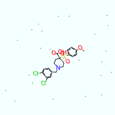 COc1ccc(S(=O)(=O)C2(C(=O)O)CCN(Cc3ccc(Cl)c(Cl)c3)CC2)cc1